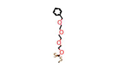 CSC(=S)OCCOCCOCCOCc1ccccc1